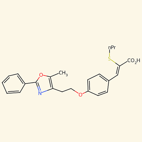 CCCS/C(=C\c1ccc(OCCc2nc(-c3ccccc3)oc2C)cc1)C(=O)O